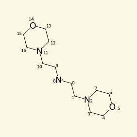 C(CN1CCOCC1)[N]CCN1CCOCC1